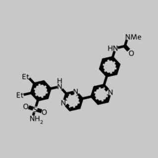 CCc1cc(Nc2nccc(-c3ccnc(-c4ccc(NC(=O)NC)cc4)c3)n2)cc(S(N)(=O)=O)c1CC